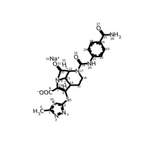 Cc1nnc(SC2=C(C(=O)[O-])N3C(=O)[C@@H]4[C@H]3C2CCN4C(=O)Nc2ccc(C(N)=O)cc2)s1.[Na+]